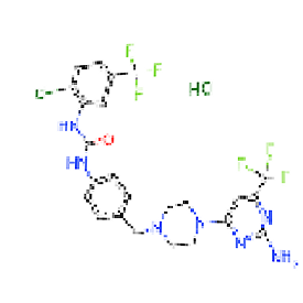 Cl.Nc1nc(N2CCN(Cc3ccc(NC(=O)Nc4cc(C(F)(F)F)ccc4Cl)cc3)CC2)cc(C(F)(F)F)n1